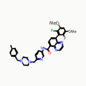 COc1cc(OC)c(F)c(-c2ccc(C(=O)Nc3ccc(CN4CCN(Cc5ccc(C)cc5)CC4)nc3)c3nccnc23)c1F